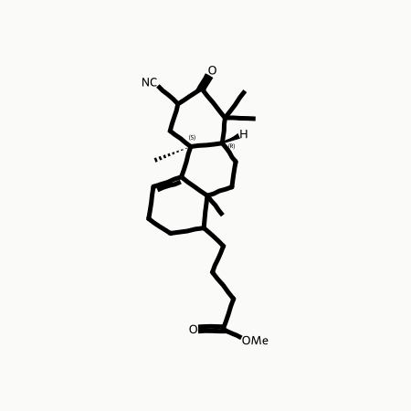 COC(=O)CCCC1CCC=C2C1(C)CC[C@H]1C(C)(C)C(=O)C(C#N)C[C@]21C